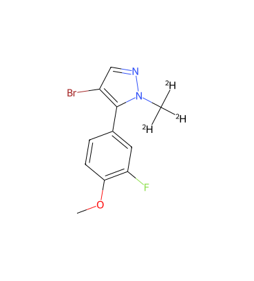 [2H]C([2H])([2H])n1ncc(Br)c1-c1ccc(OC)c(F)c1